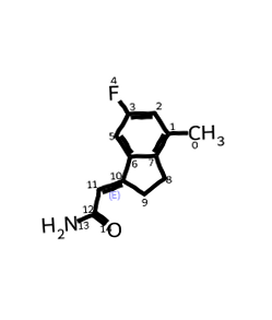 Cc1cc(F)cc2c1CC/C2=C\C(N)=O